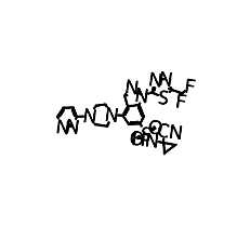 N#CC1(NS(=O)(=O)c2cc(N3CCN(c4cccnn4)CC3)c3cnn(-c4nnc(C(F)F)s4)c3c2)CC1